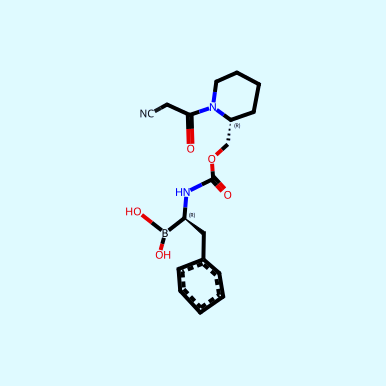 N#CCC(=O)N1CCCC[C@@H]1COC(=O)N[C@@H](Cc1ccccc1)B(O)O